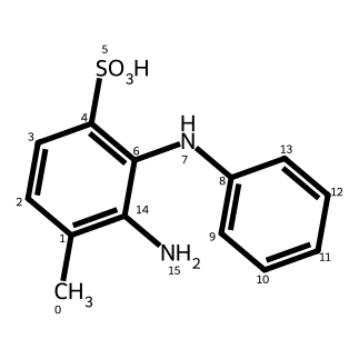 Cc1ccc(S(=O)(=O)O)c(Nc2ccccc2)c1N